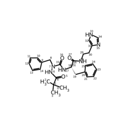 CC(C)(C)C(=O)NN(Cc1ccccc1)C(=O)N[C@@H](Cc1ccccc1)C(=O)NCCc1c[nH]cn1